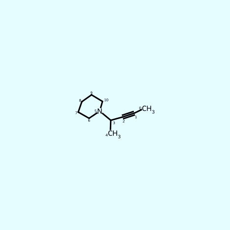 CC#CC(C)N1CCCCC1